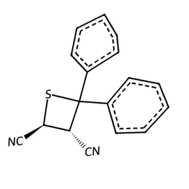 N#C[C@@H]1[C@@H](C#N)SC1(c1ccccc1)c1ccccc1